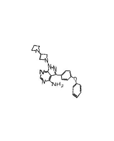 Nc1ncnc2c1c(-c1ccc(Oc3ccccc3)cc1)nn2N1CC(N2CCC2)C1